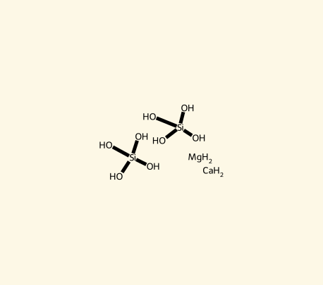 O[Si](O)(O)O.O[Si](O)(O)O.[CaH2].[MgH2]